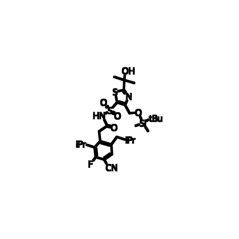 CC(C)Cc1cc(C#N)c(F)c(C(C)C)c1CC(=O)NS(=O)(=O)c1sc(C(C)(C)O)nc1CO[Si](C)(C)C(C)(C)C